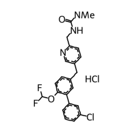 CNC(=O)NCc1ccc(Cc2ccc(OC(F)F)c(-c3cccc(Cl)c3)c2)cn1.Cl